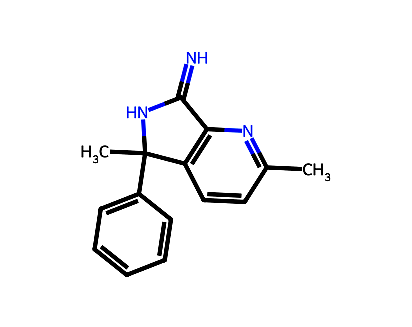 Cc1ccc2c(n1)C(=N)NC2(C)c1ccccc1